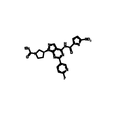 CC(C)(C)C(=O)N1CC[C@H](n2ncc3c(NC(=O)c4ccc([N+](=O)[O-])s4)nc(-c4ccc(F)nc4)nc32)C1